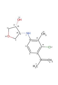 C=C(C)c1ccc(N[C@@H]2COC[C@@H]2O)c(C)c1Cl